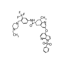 CCN1CCN(Cc2ccc(NC(=O)C3Cc4cc(Oc5ccnc6c5ccn6S(=O)(=O)c5ccccc5)cnc4C(C)C3)cc2C(F)(F)F)CC1